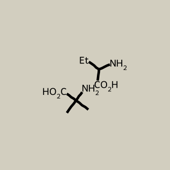 CC(C)(N)C(=O)O.CCC(N)C(=O)O